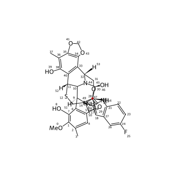 COc1c(C)cc2c(c1O)[C@H]1C3[C@@H]4SC[C@]5(NCCc6c5[nH]c5ccc(F)cc65)C(=O)OC[C@@H](c5c6c(c(C)c(O)c54)OCO6)N3[C@@H](O)[C@H](C2)N1C